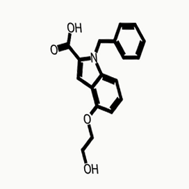 O=C(O)c1cc2c(OCCO)cccc2n1Cc1ccccc1